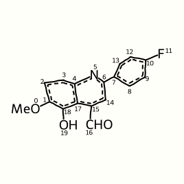 COc1ccc2nc(-c3ccc(F)cc3)cc(C=O)c2c1O